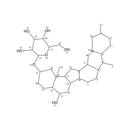 CC1CCC2C(C)C3CCC4C(CC5C4CC(O)C4CCC(OC6OC(CO)C(O)C(O)C6O)CC45C)C3CN2C1